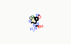 Cc1ncc(-c2nc(N)c(O)nc2-c2cc(Cl)c3ncoc3c2)s1